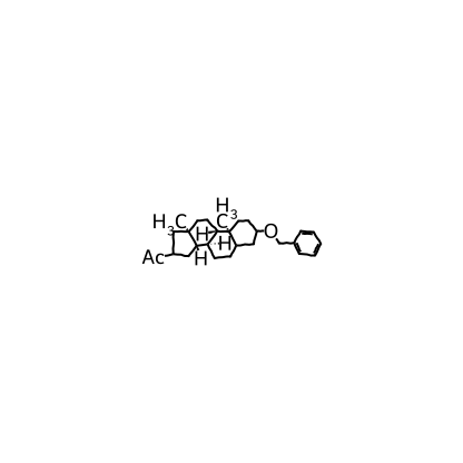 CC(=O)C1C[C@H]2[C@@H]3CCC4CC(OCc5ccccc5)CC[C@]4(C)[C@H]3CC[C@]2(C)C1